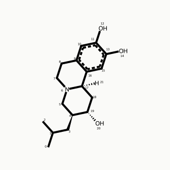 CC(C)C[C@H]1CN2CCc3cc(O)c(O)cc3[C@H]2C[C@@H]1O